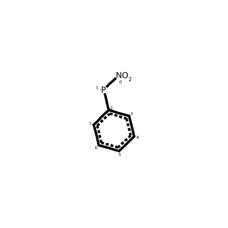 O=[N+]([O-])[P]c1ccccc1